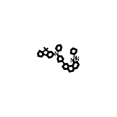 CC1(C)c2ccccc2-c2ccc(N(c3ccccc3)c3ccc(-c4ccc5ccc6ccc7nn(-c8ccccc8)nc7c6c5c4)cc3)cc21